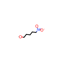 [O]CCCCC[N+](=O)[O-]